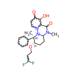 CN1C(=O)c2c(O)c(=O)ccn2N2C1CC[C@H](OCC=C(F)F)[C@@]2(C)c1ccccc1